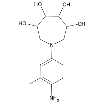 Cc1cc(N2CC(O)C(O)C(O)C(O)C2)ccc1N